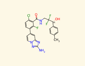 Cc1ccc([C@@H](O)C(F)(F)CNC(=O)c2c(Cl)ccc(-c3ccn4nc(N)nc4c3)c2F)cc1